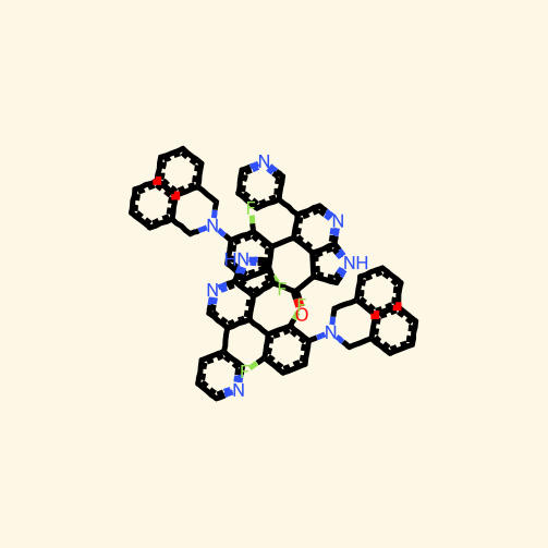 O=C(c1c[nH]c2ncc(-c3cccnc3)c(-c3c(F)ccc(N(Cc4ccccc4)Cc4ccccc4)c3F)c12)c1c[nH]c2ncc(-c3cccnc3)c(-c3c(F)ccc(N(Cc4ccccc4)Cc4ccccc4)c3F)c12